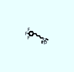 CC[Si](CC)(CCCCCc1cc(F)c(F)c(F)c1)OC